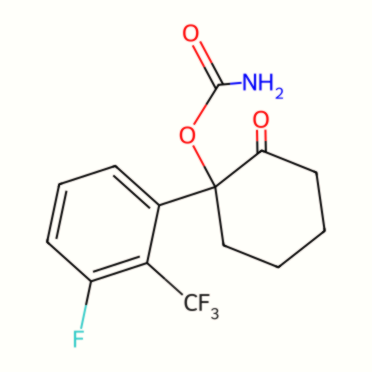 NC(=O)OC1(c2cccc(F)c2C(F)(F)F)CCCCC1=O